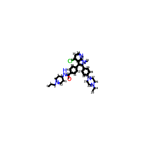 CCCN1CCC(NC(=O)c2ccc(-c3c(-c4ccc(N5CCN(CC)CC5)cc4)n(C)c4nccc(Cl)c34)cc2)CC1